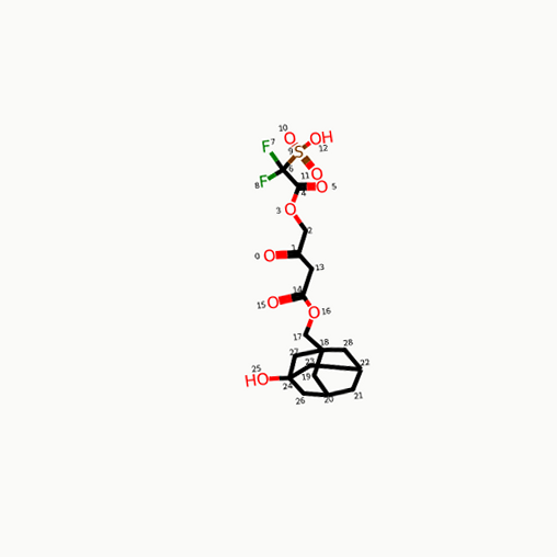 O=C(COC(=O)C(F)(F)S(=O)(=O)O)CC(=O)OCC12CC3CC(CC(O)(C3)C1)C2